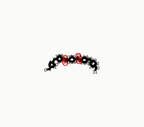 CCc1ccc(Cc2ccc(OC(=O)C3CCC(C(=O)Oc4ccc(Cc5ccc(CC)cc5)cc4)CC3)cc2)cc1